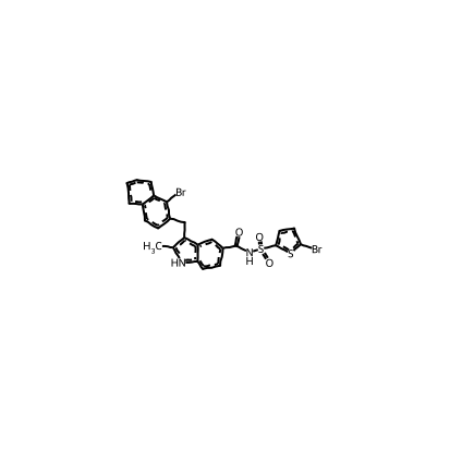 Cc1[nH]c2ccc(C(=O)NS(=O)(=O)c3ccc(Br)s3)cc2c1Cc1ccc2ccccc2c1Br